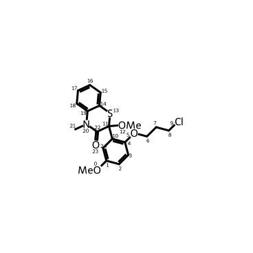 COc1ccc(OCCCCl)c(C2(OC)Sc3ccccc3N(C)C2=O)c1